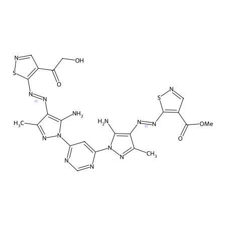 COC(=O)c1cnsc1/N=N/c1c(C)nn(-c2cc(-n3nc(C)c(/N=N/c4sncc4C(=O)CO)c3N)ncn2)c1N